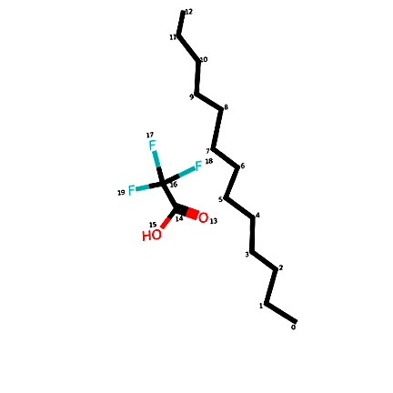 CCCCCCCCCCCCC.O=C(O)C(F)(F)F